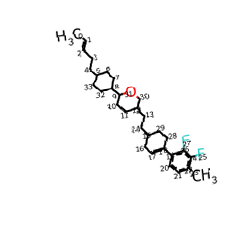 C/C=C/CCC1CCC(C2CCC(CCC3CC=C(c4ccc(C)c(F)c4F)CC3)CO2)CC1